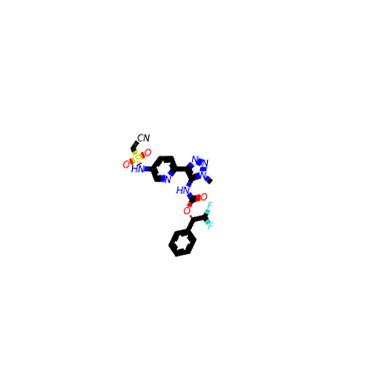 Cn1nnc(-c2ccc(NS(=O)(=O)CC#N)cn2)c1NC(=O)O[C@@H](c1ccccc1)C(F)F